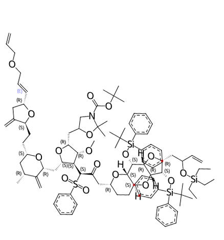 C=CCOC/C=C/[C@H]1CC(=C)[C@H](CC[C@H]2C[C@@H](C)C(=C)[C@@H](C[C@@H]3O[C@H](CC4CN(C(=O)OC(C)(C)C)C(C)(C)O4)[C@H](OC)[C@H]3[C@@H](C(=O)C[C@H]3CC[C@@H]4O[C@@H]5[C@@H](O[C@H](CC(C=C)O[Si](CC)(CC)CC)[C@@H]5O[Si](c5ccccc5)(c5ccccc5)C(C)(C)C)[C@@H](O[Si](c5ccccc5)(c5ccccc5)C(C)(C)C)[C@H]4O3)S(=O)(=O)c3ccccc3)O2)O1